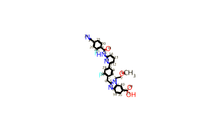 COCCn1c(Cc2ccc(-c3cccc(NC(=O)c4ccc(C#N)cc4F)n3)cc2F)nc2ccc(C(=O)O)cc21